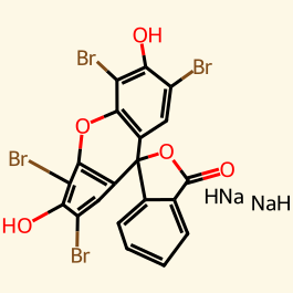 O=C1OC2(c3ccccc31)c1cc(Br)c(O)c(Br)c1Oc1c2cc(Br)c(O)c1Br.[NaH].[NaH]